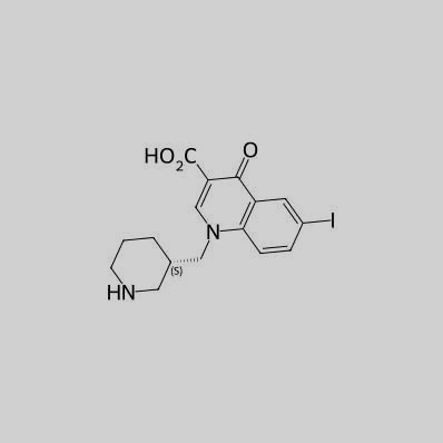 O=C(O)c1cn(C[C@H]2CCCNC2)c2ccc(I)cc2c1=O